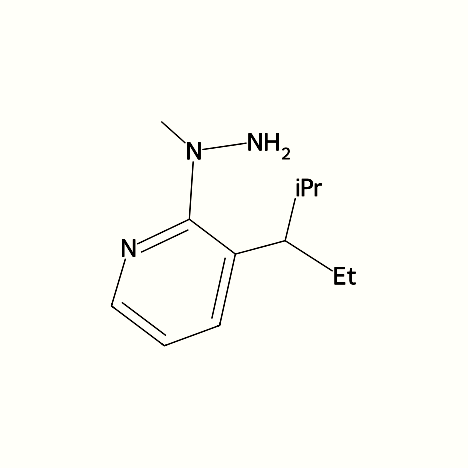 CCC(c1cccnc1N(C)N)C(C)C